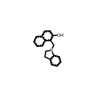 Oc1ccc2ccccc2c1CN1CCc2ccccc21